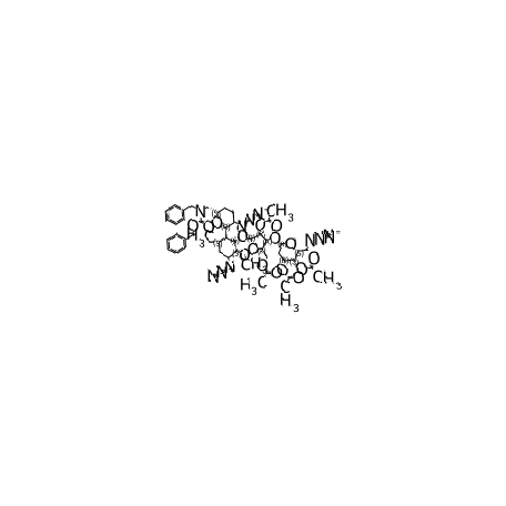 CO[C@H]1C(N=[N+]=[N-])C[C@H](C)C([C@H]2O[C@H](CN(Cc3ccccc3)C(=O)OCc3ccccc3)CCC2N=[N+]=[N-])[C@@H]1O[C@@H]1O[C@H](COC(C)=O)[C@@H](O[C@@H]2C[C@@H](OC(C)=O)[C@H](OC(C)=O)[C@H](CN=[N+]=[N-])O2)[C@H]1OC(C)=O